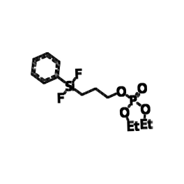 CCOP(=O)(OCC)OCCC[Si](F)(F)c1ccccc1